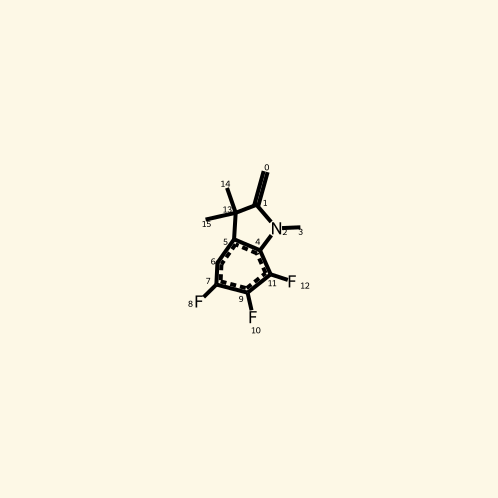 C=C1N(C)c2c(cc(F)c(F)c2F)C1(C)C